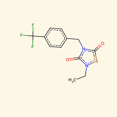 CCn1sc(=O)n(Cc2ccc(C(F)(F)F)cc2)c1=O